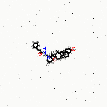 CC1=C2C[C@H]3[C@@H](CCC4=CC(=O)CC[C@@]43C)[C@@H]2CC[C@@]2(C1)OC1C[C@H](C)CN(CCNC(=O)CCc3ccccc3)[C@H]1[C@H]2C